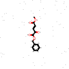 COC(=O)/C=C/C(=O)C(=O)OCc1ccccc1